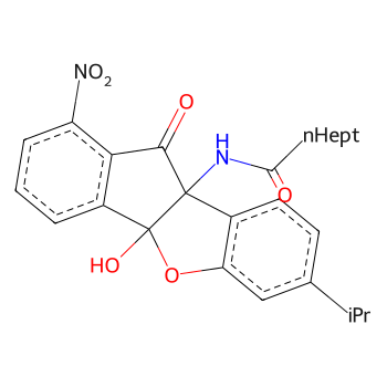 CCCCCCCC(=O)NC12C(=O)c3c([N+](=O)[O-])cccc3C1(O)Oc1cc(C(C)C)ccc12